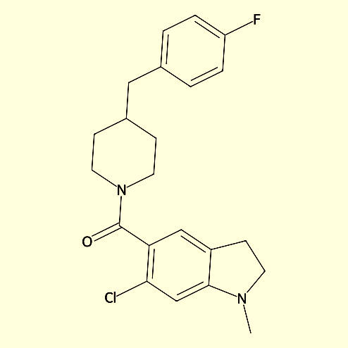 CN1CCc2cc(C(=O)N3CCC(Cc4ccc(F)cc4)CC3)c(Cl)cc21